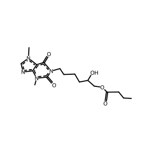 CCCC(=O)OCC(O)CCCCn1c(=O)c2c(ncn2C)n(C)c1=O